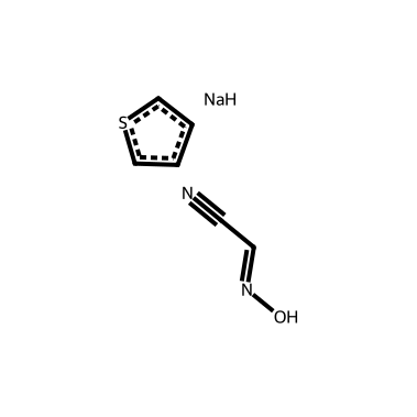 N#CC=NO.[NaH].c1ccsc1